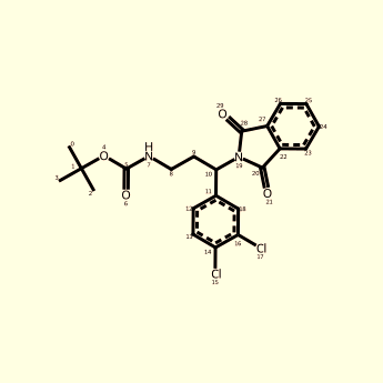 CC(C)(C)OC(=O)NCCC(c1ccc(Cl)c(Cl)c1)N1C(=O)c2ccccc2C1=O